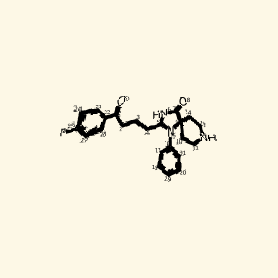 O=C(CCCC1NC(=O)C2(CCNCC2)N1c1ccccc1)c1ccc(F)cc1